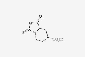 CCOC(=O)C1CCC2C(=O)OC(=O)C2C1